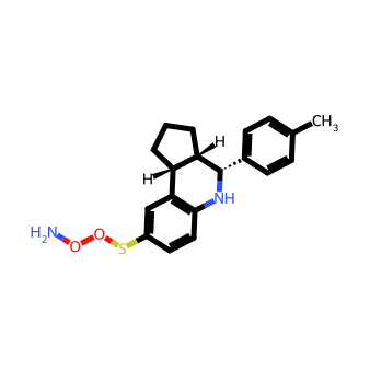 Cc1ccc([C@@H]2Nc3ccc(SOON)cc3[C@@H]3CCC[C@@H]32)cc1